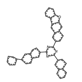 c1ccc(-c2ccc3cc(-c4nc(-c5ccc6ccccc6c5)nc(-c5ccc6cc7oc8ccccc8c7cc6c5)n4)ccc3c2)cc1